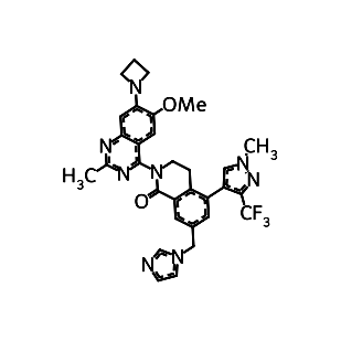 COc1cc2c(N3CCc4c(cc(Cn5ccnc5)cc4-c4cn(C)nc4C(F)(F)F)C3=O)nc(C)nc2cc1N1CCC1